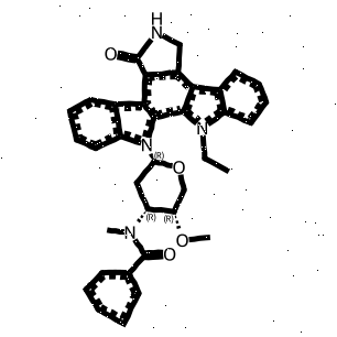 CCn1c2ccccc2c2c3c(c4c5ccccc5n([C@H]5C[C@@H](N(C)C(=O)c6ccccc6)[C@@H](OC)CO5)c4c21)C(=O)NC3